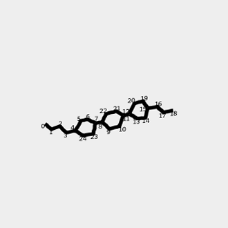 CCCCC1CCC(C2CCC(C3CCC(CCC)CC3)CC2)CC1